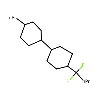 CCCC1CCC(C2CCC(C(F)(F)CCC)CC2)CC1